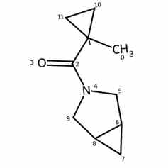 CC1(C(=O)N2CC3CC3C2)CC1